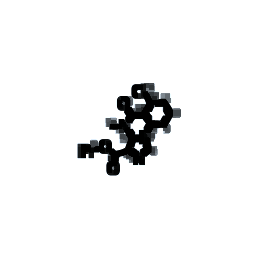 CC(C)OC(=O)c1ncn2c3cccc(Cl)c3c(=O)n(C)c12